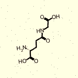 N[C@H](CCC(=O)NCC(=O)O)C(=O)O